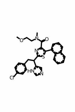 COCCN(C)C(=O)c1nc(C(Cc2ccc(Cl)cc2)c2cnc[nH]2)sc1-c1cccc2ccccc12